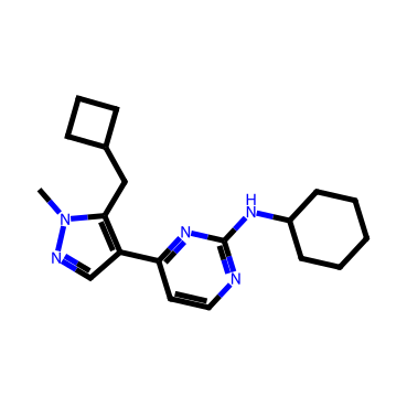 Cn1ncc(-c2ccnc(NC3CCCCC3)n2)c1CC1CCC1